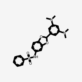 CN(C)c1cc(C2Oc3ccc(NS(=O)(=O)c4ccccc4)cc3O2)cc(N(C)C)c1